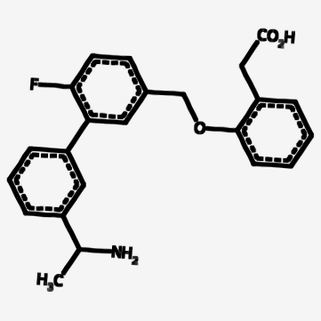 CC(N)c1cccc(-c2cc(COc3ccccc3CC(=O)O)ccc2F)c1